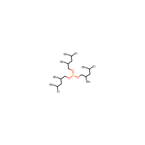 CCC(CC(COP(OCC(CC(CC)C(C)(C)C)C(C)(C)C)OCC(CC(CC)C(C)(C)C)C(C)(C)C)C(C)(C)C)C(C)(C)C